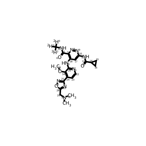 [2H]C([2H])([2H])NC(=O)c1nnc(NC(=O)C2CC2)cc1Nc1nccc(-c2noc(CN(C)C)n2)c1OC